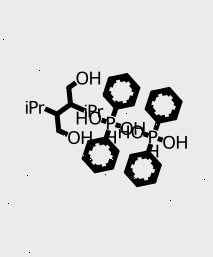 CC(C)C(CO)C(CO)C(C)C.O[PH](O)(c1ccccc1)c1ccccc1.O[PH](O)(c1ccccc1)c1ccccc1